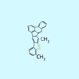 Cc1cccc2c1sc1c(C)c3c(cc12)-c1cccc2c1c-3cc1ccccc12